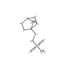 CS(=O)(=O)OCC12CCC(CC1)N2